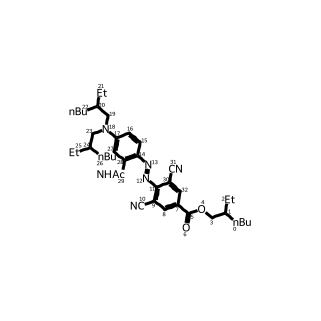 CCCCC(CC)COC(=O)c1cc(C#N)c(N=Nc2ccc(N(CC(CC)CCCC)CC(CC)CCCC)cc2NC(C)=O)c(C#N)c1